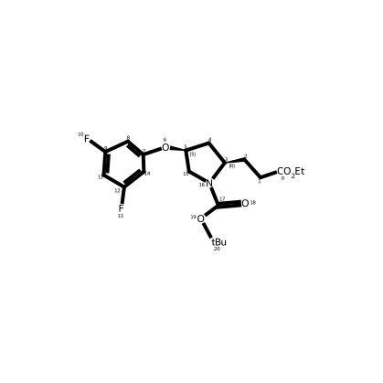 CCOC(=O)CC[C@@H]1C[C@H](Oc2cc(F)cc(F)c2)CN1C(=O)OC(C)(C)C